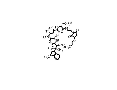 CN[C@H](C(=O)N[C@H](C(=O)N(C)[C@H](/C=C(\C)C(=O)N[C@H](CC(=O)O)C(=O)NCCN1C(=O)CC(SCCC(=O)O)C1=O)C(C)C)C(C)(C)C)C(C)(C)c1cn(C)c2ccccc12